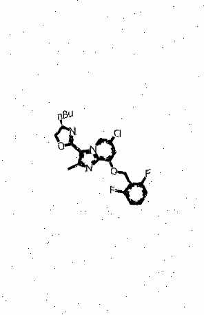 CCCC[C@@H]1COC(c2c(C)nc3c(OCc4c(F)cccc4F)cc(Cl)cn23)=N1